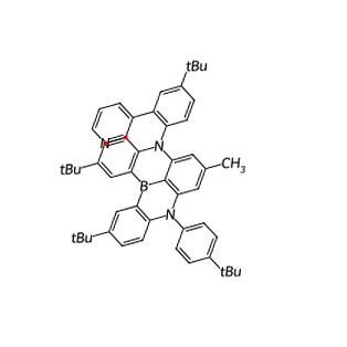 Cc1cc2c3c(c1)N(c1ccc(C(C)(C)C)cc1-c1cccnc1)c1ccc(C(C)(C)C)cc1B3c1cc(C(C)(C)C)ccc1N2c1ccc(C(C)(C)C)cc1